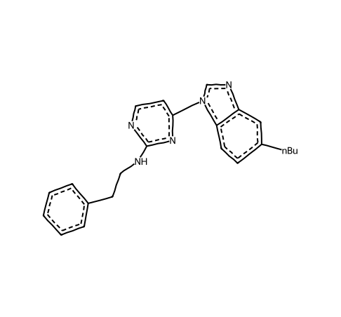 CCCCc1ccc2c(c1)ncn2-c1ccnc(NCCc2ccccc2)n1